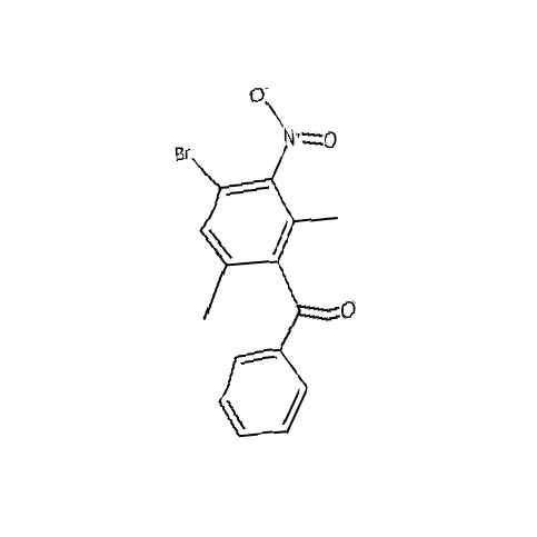 Cc1cc(Br)c([N+](=O)[O-])c(C)c1C(=O)c1ccccc1